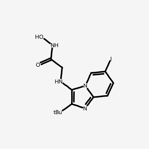 CC(C)(C)c1nc2ccc(I)cn2c1NCC(=O)NO